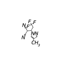 Cc1cnn(C(CC(F)(F)F)C(C#N)C#N)c1